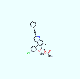 Cc1cc2nc(C#Cc3ccccc3)ccc2c(-c2ccc(Cl)cc2)c1C(COC(=O)C(C)(C)C)OC(C)(C)C